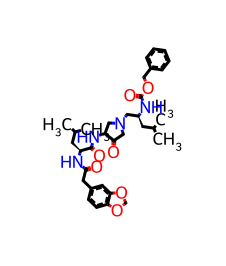 CC(C)C[C@@H](CN1CC(=O)C(NC(=O)[C@H](CC(C)C)NC(=O)Cc2ccc3c(c2)OCO3)C1)NC(=O)OCc1ccccc1